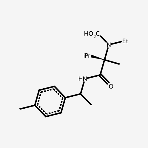 CCN(C(=O)O)[C@](C)(C(=O)NC(C)c1ccc(C)cc1)C(C)C